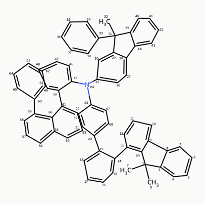 CC1(C)c2ccccc2-c2cccc(-c3ccccc3-c3ccc(N(c4ccc5c(c4)C(C)(c4ccccc4)c4ccccc4-5)c4ccccc4-c4cccc5cccc(-c6ccccc6)c45)cc3)c21